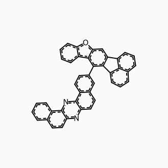 c1cc2c3c(cccc3c1)-c1c-2cc2oc3ccccc3c2c1-c1ccc2c(ccc3nc4ccc5ccccc5c4nc32)c1